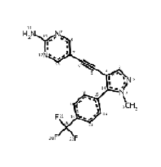 Cn1ncc(C#Cc2cnc(N)nc2)c1-c1ccc(C(F)(F)F)cc1